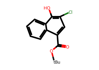 CC(C)(C)OC(=O)c1cc(Cl)c(O)c2ccccc12